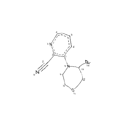 N#Cc1ncccc1N1CCOCC1Br